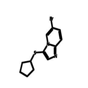 Brc1ccc2ncc(SC3CCCC3)n2c1